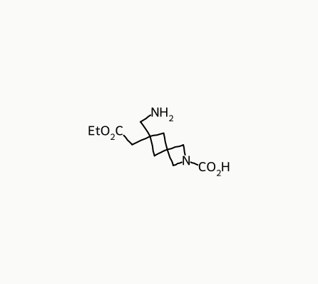 CCOC(=O)CC1(CN)CC2(CN(C(=O)O)C2)C1